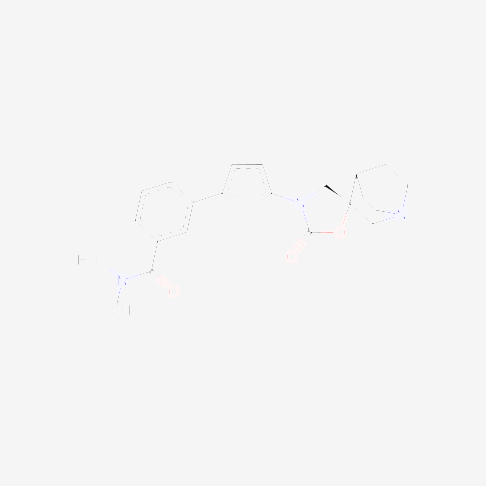 CN(C)C(=O)c1cccc(-c2ccc(N3C[C@@]4(CN5CCC4CC5)OC3=O)s2)c1